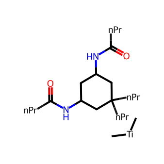 CCCC(=O)NC1CC(NC(=O)CCC)CC(CCC)(CCC)C1.[CH3][Ti][CH3]